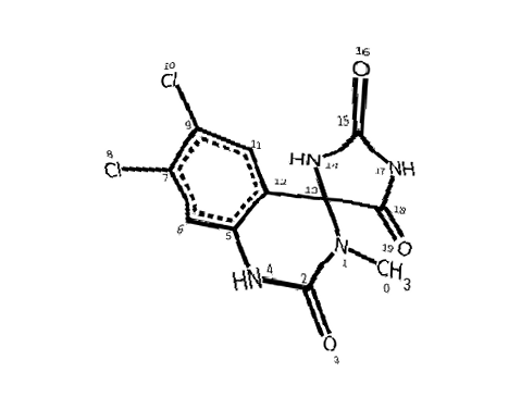 CN1C(=O)Nc2cc(Cl)c(Cl)cc2C12NC(=O)NC2=O